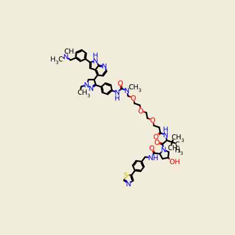 CCN1CC(c2ccnc3[nH]c(-c4cccc(CN(C)C)c4)cc23)C(c2ccc(NC(=O)N(C)COCCOCCOCCC(=O)NC(C(=O)N3CC(O)CC3C(=O)NCc3ccc(-c4cncs4)cc3)C(C)(C)C)cc2)=N1